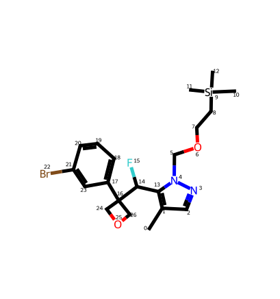 Cc1cnn(COCC[Si](C)(C)C)c1C(F)C1(c2cccc(Br)c2)COC1